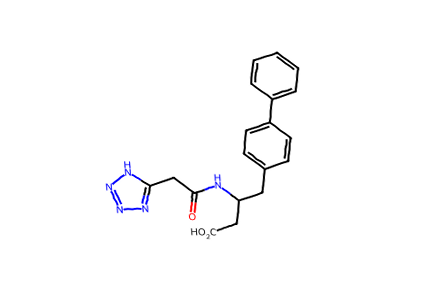 O=C(O)CC(Cc1ccc(-c2ccccc2)cc1)NC(=O)Cc1nnn[nH]1